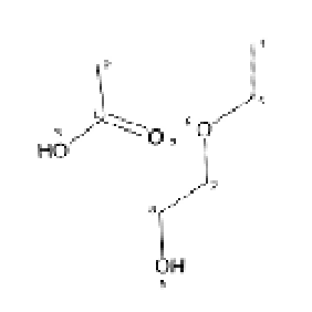 CC(=O)O.CCOCCO